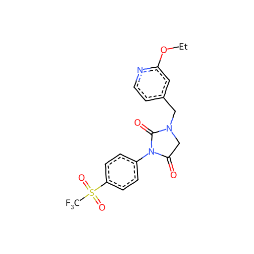 CCOc1cc(CN2CC(=O)N(c3ccc(S(=O)(=O)C(F)(F)F)cc3)C2=O)ccn1